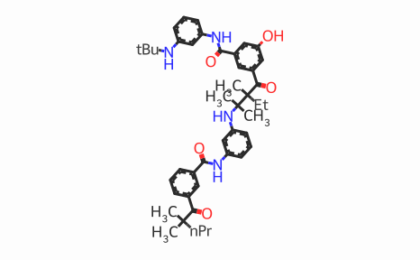 CCCC(C)(C)C(=O)c1cccc(C(=O)Nc2cccc(NC(C)(C)C(C)(CC)C(=O)c3cc(O)cc(C(=O)Nc4cccc(NC(C)(C)C)c4)c3)c2)c1